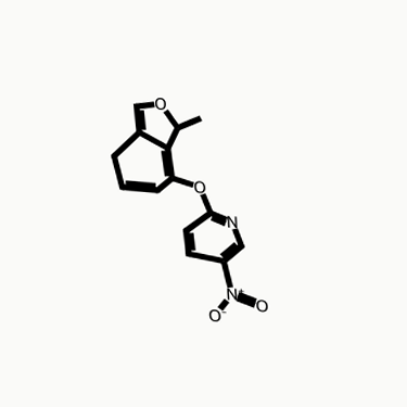 CC1OC=C2CC=CC(Oc3ccc([N+](=O)[O-])cn3)=C21